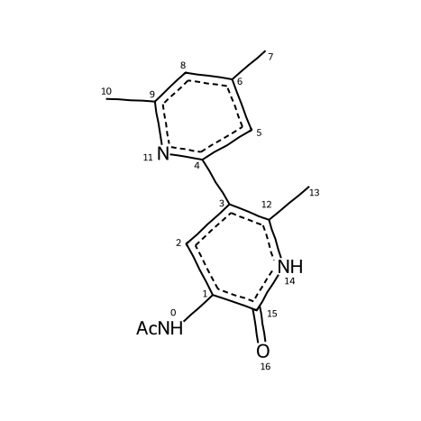 CC(=O)Nc1cc(-c2cc(C)cc(C)n2)c(C)[nH]c1=O